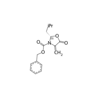 C=C1C(=O)O[C@@H](CC(C)C)N1C(=O)OCc1ccccc1